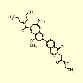 CCCN(CCC)C(=O)C1=Cc2c(cc(-c3ccc4c(=O)n(CC(=O)NCC)ncc4c3)cc2OC)N=C(N)C1